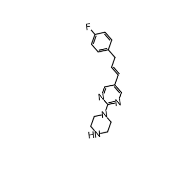 Fc1ccc(C/C=C/c2cnc(N3CCNCC3)nc2)cc1